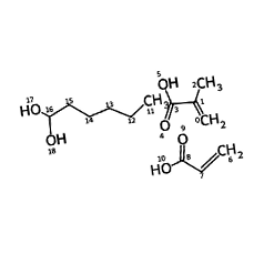 C=C(C)C(=O)O.C=CC(=O)O.CCCCCC(O)O